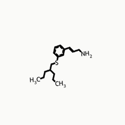 CCCC(CCC)CSc1cccc(/C=C/CN)c1